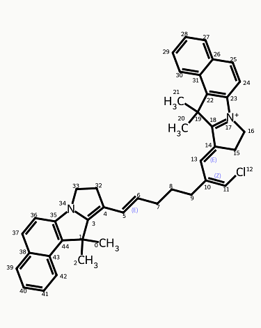 CC1(C)C2=C(/C=C/CCCC(=C/Cl)/C=C3\CC[N+]4=C3C(C)(C)c3c4ccc4ccccc34)CCN2c2ccc3ccccc3c21